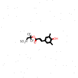 Cc1cc(/C=C/C(=O)OC(CS(=O)(=O)O)(C(F)(F)F)C(F)(F)F)cc(C)c1O